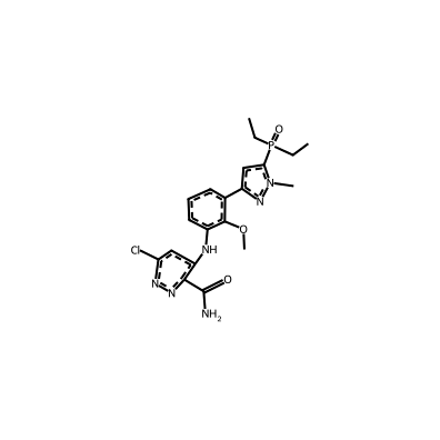 CCP(=O)(CC)c1cc(-c2cccc(Nc3cc(Cl)nnc3C(N)=O)c2OC)nn1C